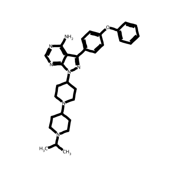 CC(C)N1CCC(N2CCC(n3nc(-c4ccc(Oc5ccccc5)cc4)c4c(N)ncnc43)CC2)CC1